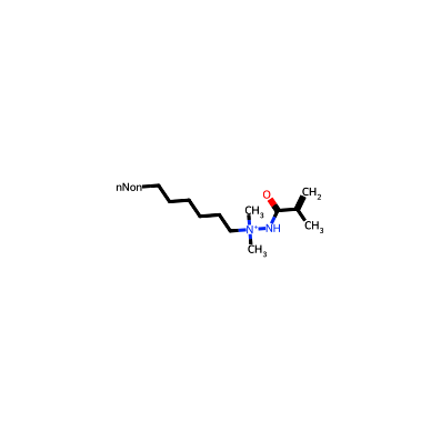 C=C(C)C(=O)N[N+](C)(C)CCCCCCCCCCCCCCC